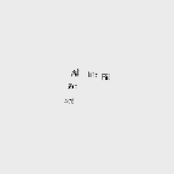 [Al].[Bi].[In].[Sn].[Zn]